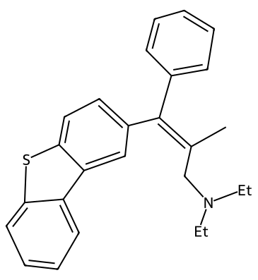 CCN(CC)CC(C)=C(c1ccccc1)c1ccc2sc3ccccc3c2c1